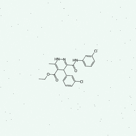 CCOC(=O)C1=C(C)NN=C(C(=O)Nc2cccc(Cl)c2)C1c1cccc(Cl)c1